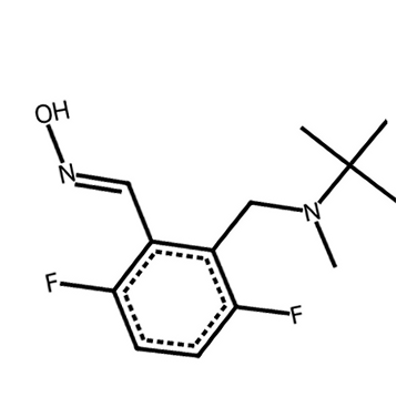 CN(Cc1c(F)ccc(F)c1C=NO)C(C)(C)C